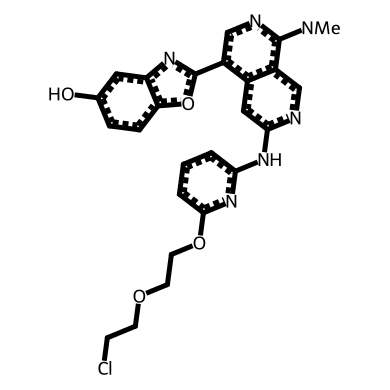 CNc1ncc(-c2nc3cc(O)ccc3o2)c2cc(Nc3cccc(OCCOCCCl)n3)ncc12